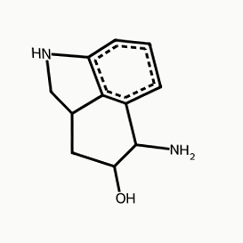 NC1c2cccc3c2C(CN3)CC1O